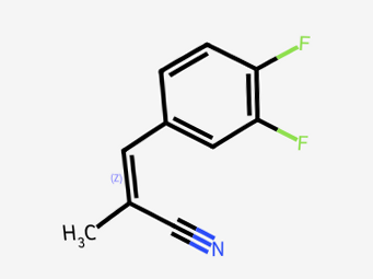 C/C(C#N)=C/c1ccc(F)c(F)c1